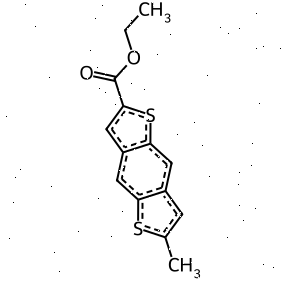 CCOC(=O)c1cc2cc3sc(C)cc3cc2s1